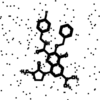 CN1CCN(c2cc(N(C)C)cn3c(=O)c(OCc4ccccc4)c(C(=O)NCc4ccc(F)cc4)nc23)C1=O